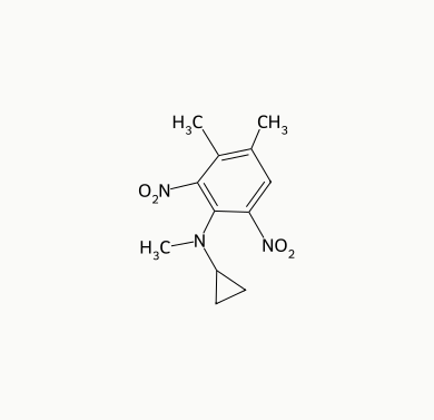 Cc1cc([N+](=O)[O-])c(N(C)C2CC2)c([N+](=O)[O-])c1C